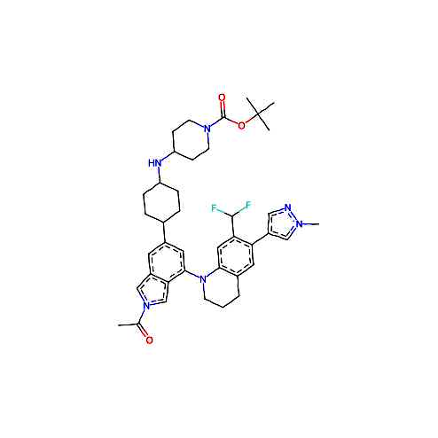 CC(=O)n1cc2cc(C3CCC(NC4CCN(C(=O)OC(C)(C)C)CC4)CC3)cc(N3CCCc4cc(-c5cnn(C)c5)c(C(F)F)cc43)c2c1